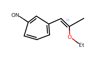 CCO/C(C)=C\c1cccc(N=O)c1